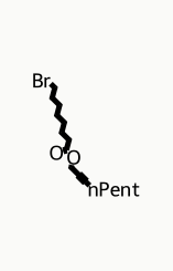 CCCCCC#CCOC(=O)CCCCCCCBr